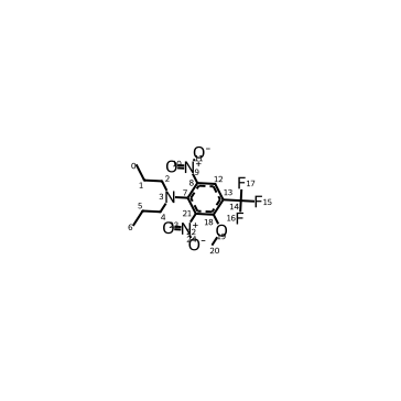 CCCN(CCC)c1c([N+](=O)[O-])cc(C(F)(F)F)c(OC)c1[N+](=O)[O-]